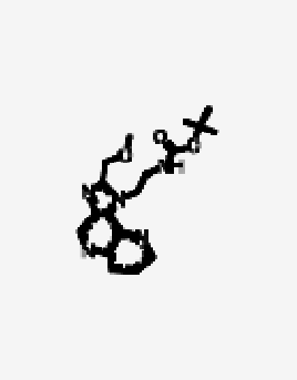 COCc1nc2cnc3cccnc3c2n1CCNC(=O)OC(C)(C)C